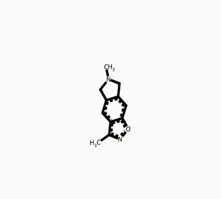 Cc1noc2cc3c(cc12)CN(C)C3